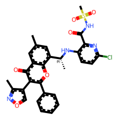 Cc1cc([C@@H](C)Nc2ccc(Cl)nc2C(=O)NS(C)(=O)=O)c2oc(-c3ccccc3)c(-c3conc3C)c(=O)c2c1